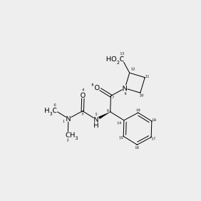 CN(C)C(=O)N[C@@H](C(=O)N1CCC1C(=O)O)c1ccccc1